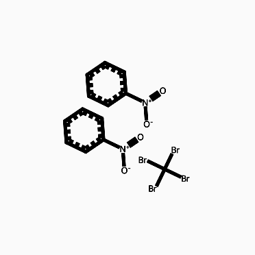 BrC(Br)(Br)Br.O=[N+]([O-])c1ccccc1.O=[N+]([O-])c1ccccc1